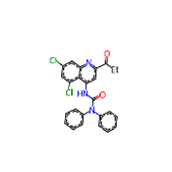 CCC(=O)c1cc(NC(=O)N(c2ccccc2)c2ccccc2)c2c(Cl)cc(Cl)cc2n1